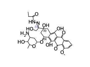 CCC(=O)N/N=C(\CO)[C@]1(O)Cc2c(O)c3c(c(O)c2[C@@H](OC2CC(N)C(O)C(C)O2)C1)C(=O)c1c(OC)cccc1C3=O